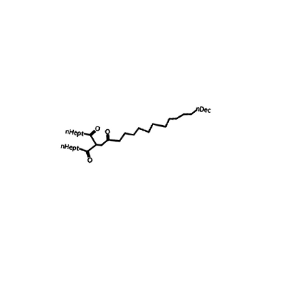 CCCCCCCCCCCCCCCCCCCCCC(=O)CC(C(=O)CCCCCCC)C(=O)CCCCCCC